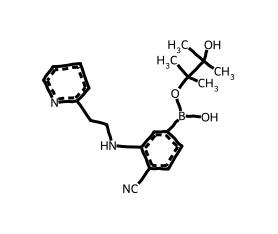 CC(C)(O)C(C)(C)OB(O)c1ccc(C#N)c(NCCc2ccccn2)c1